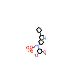 COc1cc(OC)cc(N(CCOS(C)(=O)=O)c2ccc3ncc(-c4ccccc4)cc3c2)c1